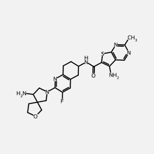 Cc1ncc2c(N)c(C(=O)NC3CCc4nc(N5CC(N)C6(CCOC6)C5)c(F)cc4C3)sc2n1